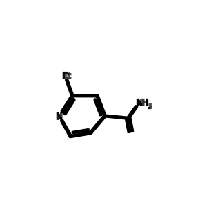 C=C(N)c1ccnc(CC)c1